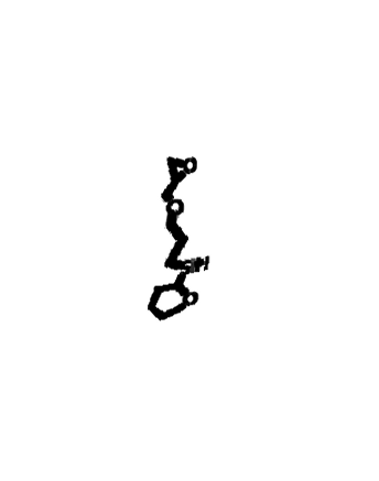 C[SiH](CCCOCC1CO1)C1CCCCO1